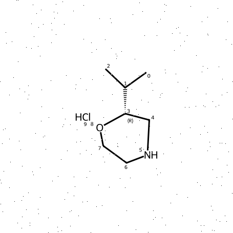 CC(C)[C@@H]1CNCCO1.Cl